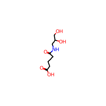 O=C(O)CCCC(=O)NCC(O)CO